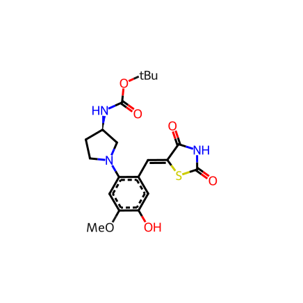 COc1cc(N2CC[C@@H](NC(=O)OC(C)(C)C)C2)c(/C=C2\SC(=O)NC2=O)cc1O